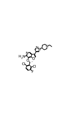 CCN1CCC(n2cc(-c3coc4c(O[C@H](C)c5c(Cl)ccc(F)c5Cl)c(N)ncc34)cn2)CC1